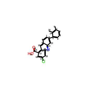 Cc1cccc(-c2ccc3cc4c(C(=O)O)cc(Cl)cc4nc3c2)c1C